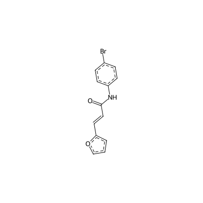 O=C(/C=C/c1ccco1)Nc1ccc(Br)cc1